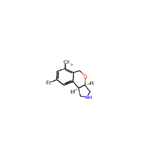 CCc1cc2c(c(C(F)(F)F)c1)CO[C@H]1CNC[C@@H]21